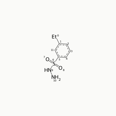 CCc1cccc(S(=O)(=O)NN)c1